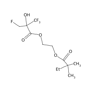 CCC(C)(C)C(=O)OCCOC(=O)C(O)(CF)C(F)(F)F